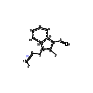 C/N=C\Cn1c(C)c(C=O)c2ccccc21